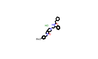 COc1ccc(CN2CCC3(CCN(CCC(NC(=O)CC4CCCCC4)c4ccccc4)CC3)C2=O)cc1.Cl